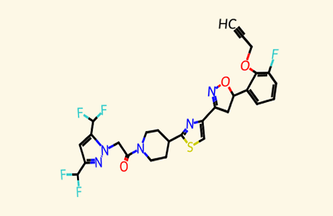 C#CCOc1c(F)cccc1C1CC(c2csc(C3CCN(C(=O)Cn4nc(C(F)F)cc4C(F)F)CC3)n2)=NO1